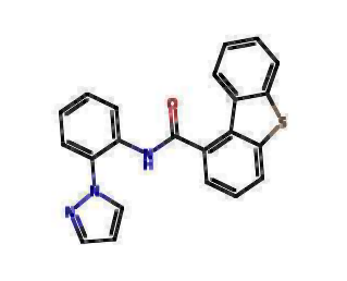 O=C(Nc1ccccc1-n1cccn1)c1cccc2sc3ccccc3c12